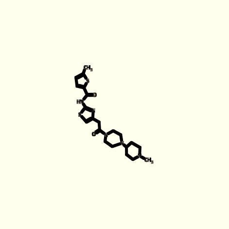 Cc1ccc(C(=O)Nc2nc(CC(=O)N3CCN(C4CCN(C)CC4)CC3)cs2)s1